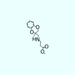 COC(=O)CCNCC1(C)COc2ccccc2O1